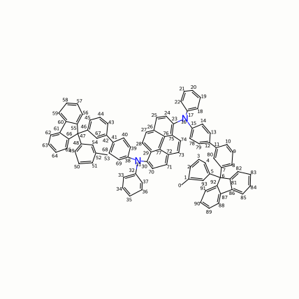 Cc1cccc(C2(c3cccc(-c4ccc(N(c5ccccc5)c5ccc6ccc7c(N(c8ccccc8)c8ccc(-c9cccc(C%10(c%11cccc(C)c%11)c%11ccccc%11-c%11ccccc%11%10)c9)cc8)ccc8ccc5c6c87)cc4)c3)c3ccccc3-c3ccccc32)c1